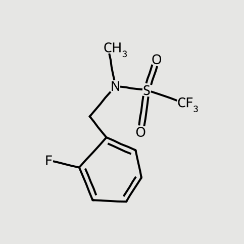 CN(Cc1ccccc1F)S(=O)(=O)C(F)(F)F